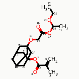 C=C(C)C(=O)OC12CC3CC(CC(OCC(=O)OC(C)OCC)(C3)C1)C2